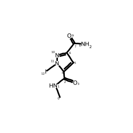 CNC(=O)c1cc(C(N)=O)nn1I